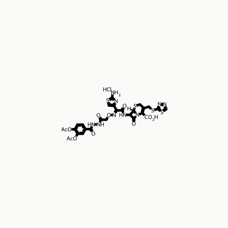 CC(=O)Oc1ccc(C(=O)NNC(=O)CON=C(C(=O)NC2C(=O)N3C(C(=O)O)=C(CSc4nncs4)CS[C@@H]23)c2csc(N)n2)cc1OC(C)=O.Cl